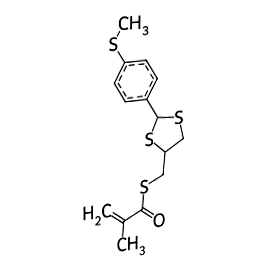 C=C(C)C(=O)SCC1CSC(c2ccc(SC)cc2)S1